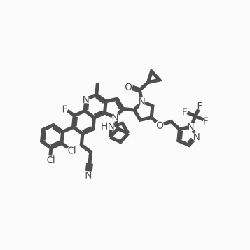 Cc1nc2c(F)c(-c3cccc(Cl)c3Cl)c(CCC#N)cc2c2c1cc(C1CC(OCc3ccnn3C(F)(F)F)CN1C(=O)C1CC1)n2C1C2CNC1C2